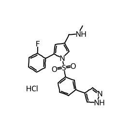 CNCc1cc(-c2ccccc2F)n(S(=O)(=O)c2cccc(-c3cn[nH]c3)c2)c1.Cl